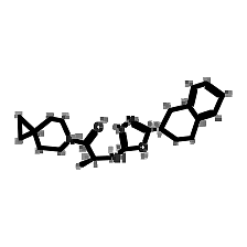 C[C@H](Nc1nnc([C@H]2CCc3ccccc3C2)o1)C(=O)N1CCC2(CC1)CC2